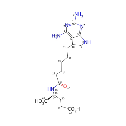 Nc1nc(N)c2c(n1)NCC2CCCCCC(=O)N[C@@H](CCC(=O)O)C(=O)O